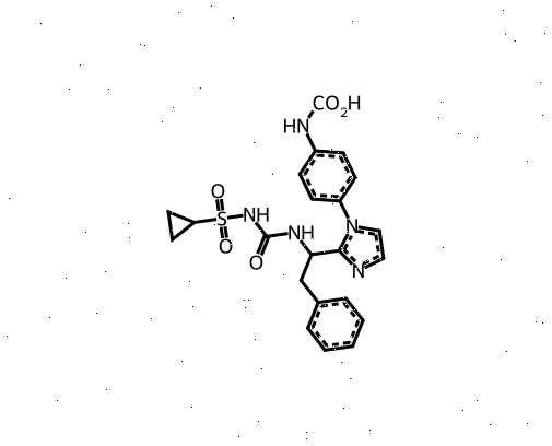 O=C(O)Nc1ccc(-n2ccnc2C(Cc2ccccc2)NC(=O)NS(=O)(=O)C2CC2)cc1